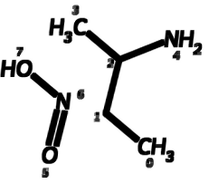 CCC(C)N.O=NO